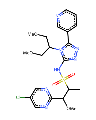 COCC(COC)n1c(NS(=O)(=O)C(C)C(OC)c2ncc(Cl)cn2)nnc1-c1cccnc1